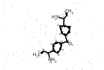 C=CC(N)c1ccc(C(=O)c2ccc(C(N)C=C)cc2)cc1